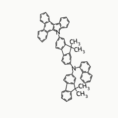 CC1(C)c2ccccc2-c2ccc(N(c3ccc4c(c3)C(C)(C)c3cc(-n5c6ccccc6c6c7ccccc7c7ccccc7c65)ccc3-4)c3cccc4ccccc34)cc21